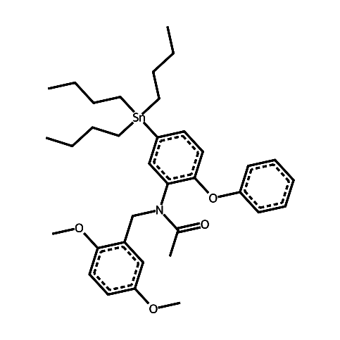 CCC[CH2][Sn]([CH2]CCC)([CH2]CCC)[c]1ccc(Oc2ccccc2)c(N(Cc2cc(OC)ccc2OC)C(C)=O)c1